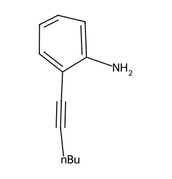 CCCCC#Cc1ccccc1N